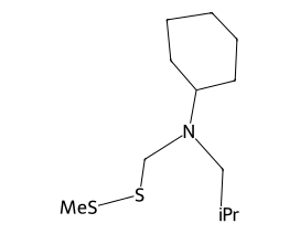 CSSCN(CC(C)C)C1CCCCC1